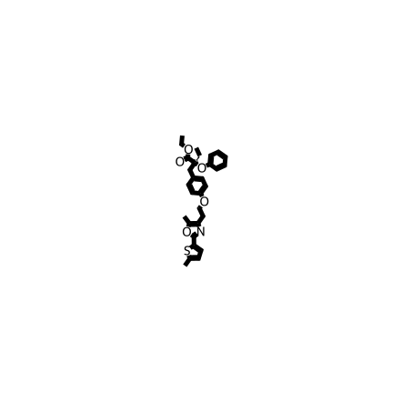 CCOC(=O)[C@](CC)(Cc1ccc(OCCc2nc(-c3ccc(C)s3)oc2C)cc1)Oc1ccccc1